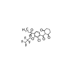 CCS(=O)(=O)c1ccc(C(=O)C2C(=O)CCCC2=O)c(Cl)c1OCC(F)(F)C(F)F